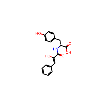 O=C(N[C@@H](Cc1ccc(O)cc1)C(=O)O)C(O)=Cc1ccccc1